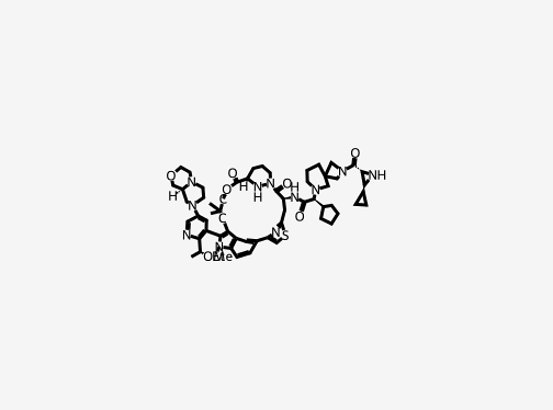 CCn1c(-c2cc(N3CCN4CCOC[C@@H]4C3)cnc2[C@H](C)OC)c2c3cc(ccc31)-c1csc(n1)C[C@H](NC(=O)[C@H](C1CCCC1)N1CCCC3(CN(C(=O)[C@@H]4N[C@@H]4C4CC4)C3)C1)C(=O)N1CCC[C@H](N1)C(=O)OCC(C)(C)C2